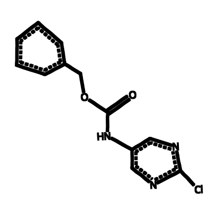 O=C(Nc1cnc(Cl)nc1)OCc1ccccc1